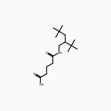 CC(C)(C)CC(CNC(=O)CCCC(=O)O)C(C)(C)C